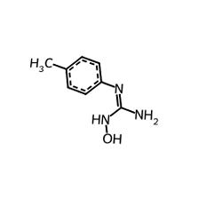 Cc1ccc(N=C(N)NO)cc1